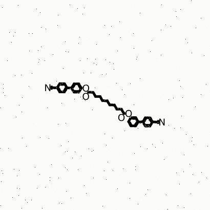 N#Cc1ccc(-c2ccc(OC(=O)CCCCCCCCCC(=O)Oc3cccc(-c4ccc(C#N)cc4)c3)cc2)cc1